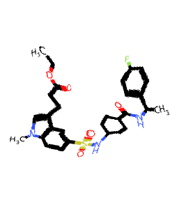 CCOC(=O)CCc1cn(C)c2ccc(S(=O)(=O)NC3CCC(C(=O)NC(C)c4ccc(F)cc4)CC3)cc12